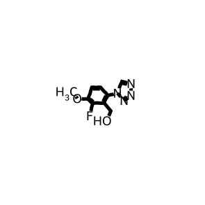 COc1ccc(-n2cnnn2)c(CO)c1F